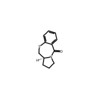 O=C1c2ccccc2SC[C@@H]2CCCN12